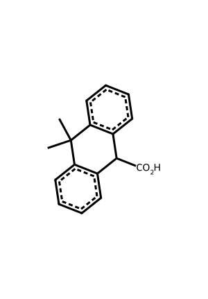 CC1(C)c2ccccc2C(C(=O)O)c2ccccc21